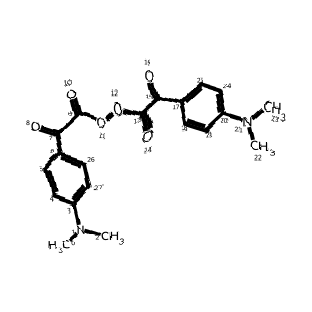 CN(C)c1ccc(C(=O)C(=O)OOC(=O)C(=O)c2ccc(N(C)C)cc2)cc1